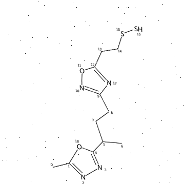 Cc1nnc(C(C)CCc2noc(CCSS)n2)o1